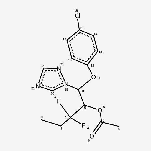 CCC(F)(F)C(OC(C)=O)C(Oc1ccc(Cl)cc1)n1cncn1